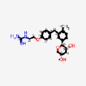 Cc1ccc([C@@H]2OC[C@@H](O)C[C@H]2O)cc1Cc1ccc(OCCNC(=N)N)cc1